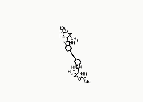 CC(C)(C)OC(=O)N[C@H](c1nc2ccc(C#Cc3ccc4nc([C@@H](NC(=O)OC(C)(C)C)C5(C)CC5)[nH]c4c3)cc2[nH]1)C1(C)CC1